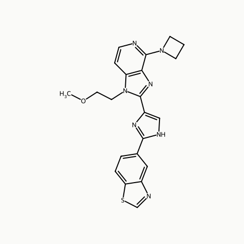 COCCn1c(-c2c[nH]c(-c3ccc4scnc4c3)n2)nc2c(N3CCC3)nccc21